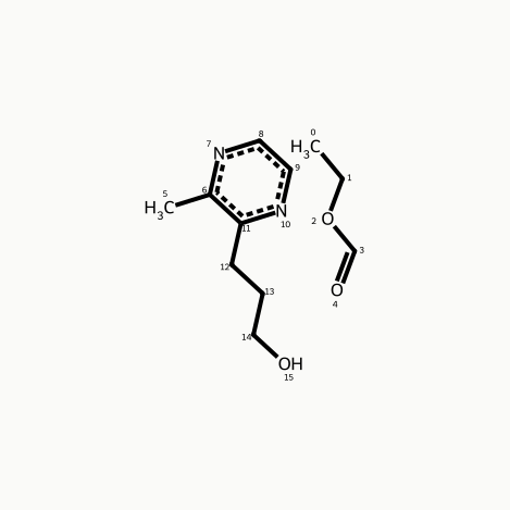 CCOC=O.Cc1nccnc1CCCO